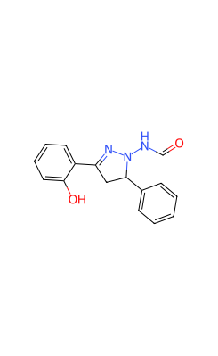 O=CNN1N=C(c2ccccc2O)CC1c1ccccc1